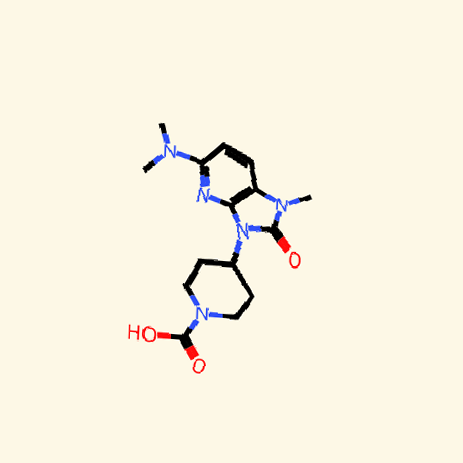 CN(C)c1ccc2c(n1)n(C1CCN(C(=O)O)CC1)c(=O)n2C